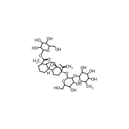 C=C1C[C@@]23CCC4[C@](C)(C(=O)OC5OC(CO)C(O)C(O)C5O)CCC[C@@]4(C)[C@@H]2CC[C@]1(OC1OC(CO)C(O)C(O)C1OC1OC(C)C(O)C(O)C1O)C3